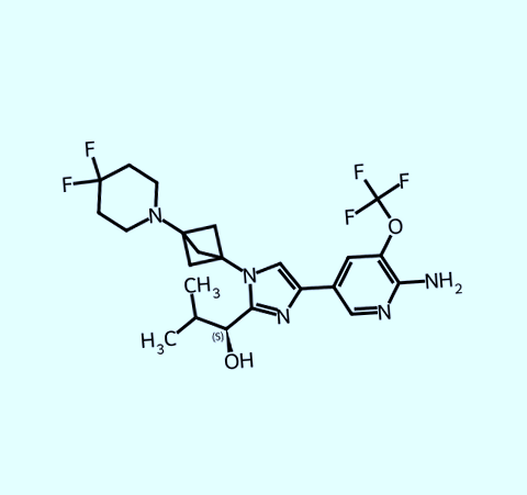 CC(C)[C@H](O)c1nc(-c2cnc(N)c(OC(F)(F)F)c2)cn1C12CC(N3CCC(F)(F)CC3)(C1)C2